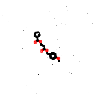 COc1ccc(COC(=O)CCOC(=O)C2CCCC2)cc1